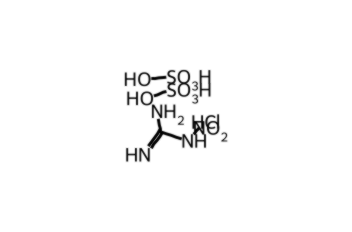 Cl.N=C(N)N[N+](=O)[O-].O=S(=O)(O)O.O=S(=O)(O)O